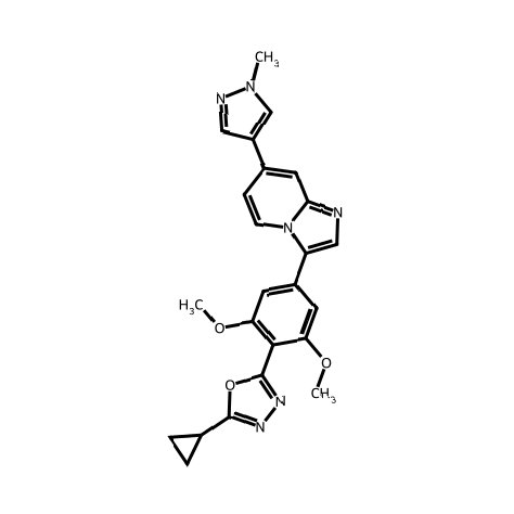 COc1cc(-c2cnc3cc(-c4cnn(C)c4)ccn23)cc(OC)c1-c1nnc(C2CC2)o1